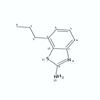 CCCc1cccc2nc(N)sc12